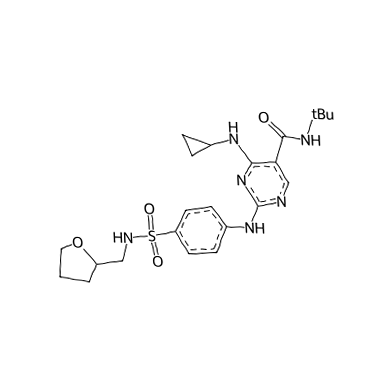 CC(C)(C)NC(=O)c1cnc(Nc2ccc(S(=O)(=O)NCC3CCCO3)cc2)nc1NC1CC1